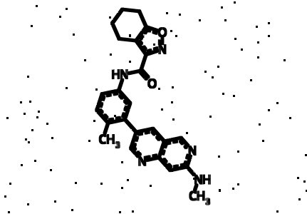 CNc1cc2ncc(-c3cc(NC(=O)c4noc5c4CCCC5)ccc3C)cc2cn1